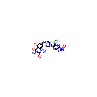 CCn1c(=O)[nH]c2cc(CN3CCN(c4ccc(C(=O)NC)nc4Cl)CC3)cc(OC)c2c1=O